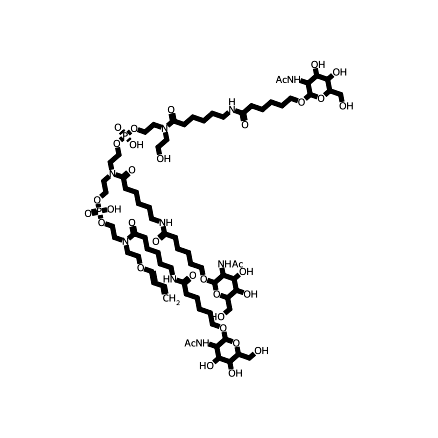 C=CC=COCCN(CCOP(=O)(O)OCCN(CCOP(=O)(O)OCCN(CCO)C(=O)CCCCCNC(=O)CCCCCOC1OC(CO)C(O)C(O)C1NC(C)=O)C(=O)CCCCCNC(=O)CCCCCOC1OC(CO)C(O)C(O)C1NC(C)=O)C(=O)CCCCCNC(=O)CCCCCOC1OC(CO)C(O)C(O)C1NC(C)=O